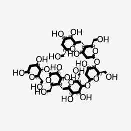 OC[C@@H]1C[C@H](O)[C@@H](O)C(C[C@H]2[C@H](O)CC(O[C@H]3[C@H](O)CC(OC4[C@@H](CO)OC(C[C@H]5[C@H](O)[C@@H](O)C(O[C@H]6[C@H](O)CC(O)O[C@@H]6CO)O[C@@H]5CO)[C@H](O)[C@H]4O)O[C@@H]3CO)O[C@@H]2CO)O1